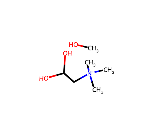 CO.C[N+](C)(C)CC(O)O